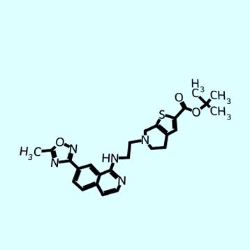 Cc1nc(-c2ccc3ccnc(NCCN4CCc5cc(C(=O)OC(C)(C)C)sc5C4)c3c2)no1